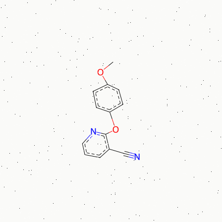 COc1ccc(Oc2ncccc2C#N)cc1